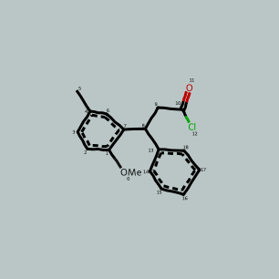 COc1ccc(C)cc1C(CC(=O)Cl)c1ccccc1